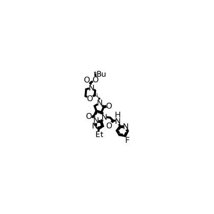 CCc1cc2n(CC(=O)Nc3ccc(F)cn3)c3c(c(=O)n2n1)CN(C[C@H]1CN(C(=O)OC(C)(C)C)CCO1)C3=O